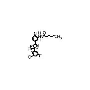 CCCCCC(=O)NNc1cc(C2=NOC(c3cc(Cl)cc(Cl)c3)(C(F)(F)F)C2)ccc1Cl